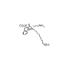 CCCCCCCC/C=C/CCCCCCCCN[C@@H](CCCCN)C(=O)N[C@@H](Cc1ccccc1)C(=O)O